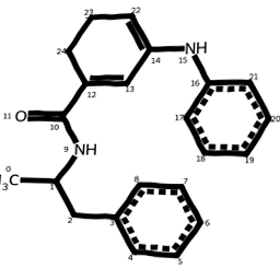 CC(Cc1ccccc1)NC(=O)C1=CC(Nc2ccccc2)=C[CH]C1